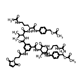 CC(=O)OCc1ccc(NC(=O)[C@H](CCCNC(N)=O)NC(=O)C(NC(=O)c2cc(NC(=O)CCN3C(=O)C=CC3=O)cc(C(=O)NC(C(=O)N[C@@H](CCCNC(N)=O)C(=O)Nc3ccc(COC(C)=O)cc3)C(C)C)c2)C(C)C)cc1